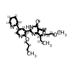 CCCCOc1ncc(-c2ccccn2)cc1-c1nc2c(CC)n(CCOC)nc2c(=O)[nH]1